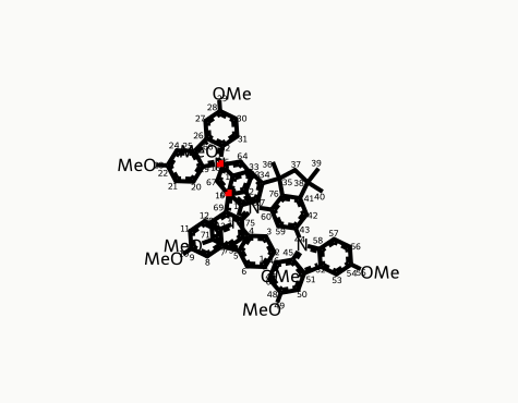 COc1ccc2c(c1)c1cc(OC)ccc1n2-c1cc(-n2c3ccc(OC)cc3c3cc(OC)ccc32)cc(C2(C)CC(C)(C)c3cc(-n4c5ccc(OC)cc5c5cc(OC)ccc54)cc(-n4c5ccc(OC)cc5c5cc(OC)ccc54)c32)c1